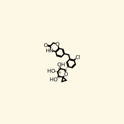 O=C1COc2cc(Cc3cc([C@@H]4OC5(CC5)[C@@H](O)[C@H](O)[C@H]4O)ccc3Cl)ccc2N1